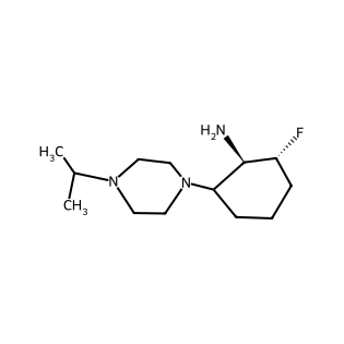 CC(C)N1CCN(C2CCC[C@@H](F)[C@@H]2N)CC1